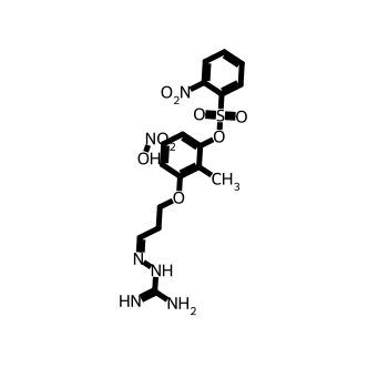 Cc1c(OCC/C=N\NC(=N)N)cccc1OS(=O)(=O)c1ccccc1[N+](=O)[O-].O=[N+]([O-])O